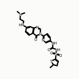 CC1CC=C(S(=O)(=O)NC(=O)Nc2ccc(-n3cnc4cc(NCCN(C)C)ccc4c3=O)nc2)S1